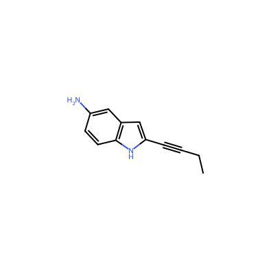 CCC#Cc1cc2cc(N)ccc2[nH]1